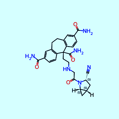 N#C[C@@H]1C[C@@H]2C[C@@H]2N1C(=O)CNCCC1(C(N)=O)c2ccc(C(N)=O)cc2CCc2cc(C(N)=O)ccc21